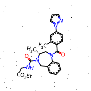 CCOC(=O)CNC(=O)N1Cc2ccccc2N(C(=O)c2ccc(-n3cccn3)cc2C(F)(F)F)C[C@H]1C